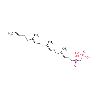 C/C=C/CC/C(C)=C/CC/C(C)=C/CC/C(C)=C/CCP(=O)(O)CP(=O)(O)O